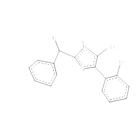 Cc1[nH]c(C(Br)c2ccccc2)nc1-c1ccccc1Br